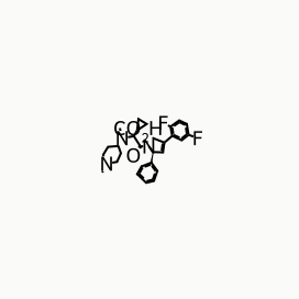 CN1CCC(N(C(=O)O)C(C(=O)N2CC(c3cc(F)ccc3F)=C[C@H]2c2ccccc2)C2CC2)CC1